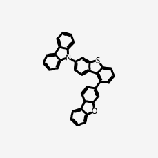 C1=CC2c3ccccc3OC2C=C1c1cccc2sc3cc(-n4c5ccccc5c5ccccc54)ccc3c12